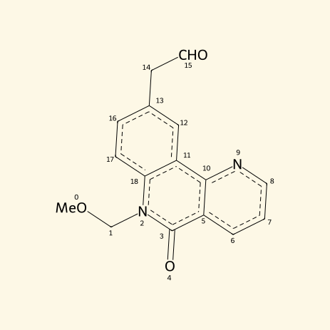 COCn1c(=O)c2cccnc2c2cc(CC=O)ccc21